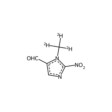 [2H]C([2H])([2H])n1c(C=O)cnc1[N+](=O)[O-]